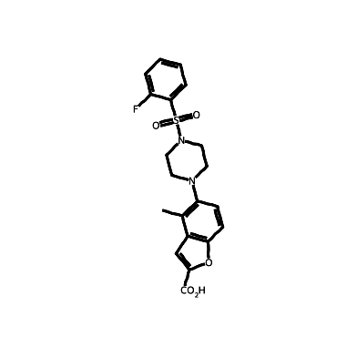 Cc1c(N2CCN(S(=O)(=O)c3ccccc3F)CC2)ccc2oc(C(=O)O)cc12